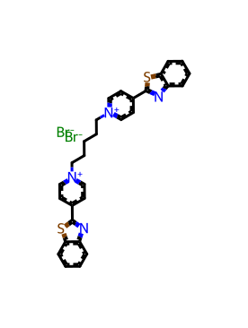 [Br-].[Br-].c1ccc2sc(-c3cc[n+](CCCCC[n+]4ccc(-c5nc6ccccc6s5)cc4)cc3)nc2c1